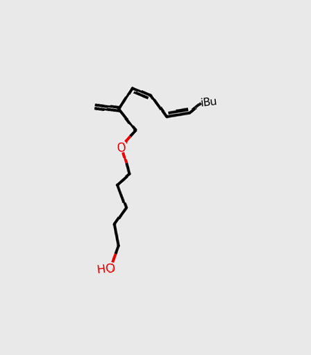 C=C(/C=C\C=C/C(C)CC)COCCCCCO